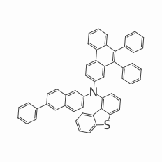 c1ccc(-c2ccc3cc(N(c4ccc5c(c4)c(-c4ccccc4)c(-c4ccccc4)c4ccccc45)c4cccc5sc6ccccc6c45)ccc3c2)cc1